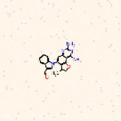 CC1COc2c1c(-n1cc(C=O)c3ccccc31)cc1nc(N)nc(N)c21